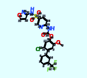 COc1cc(-c2cccc(C(F)(F)F)c2)c(Cl)cc1OC(=O)Nc1ccc(S(=O)(=O)Nc2ccon2)cn1